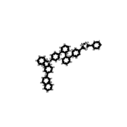 c1ccc(-c2nnc(-c3ccc(-c4ccccc4-c4ccccc4-c4ccc(-n5c6ccccc6c6cc(-c7ccc8ccccc8c7)ccc65)cc4)cc3)o2)cc1